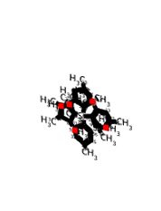 CC1=C(C)C(C)C([Si](c2ccc(C)cc2[Si](C)(C)C)(c2ccc(C)cc2[Si](C)(C)C)c2ccc(C)cc2[Si](C)(C)C)=C1C